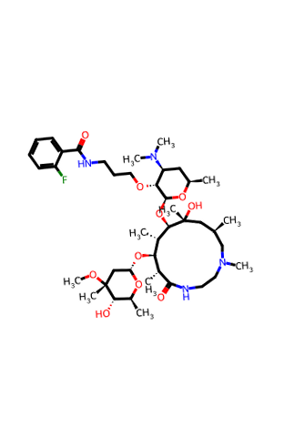 CO[C@]1(C)C[C@H](O[C@H]2[C@H](C)[C@@H](O[C@@H]3O[C@H](C)C[C@H](N(C)C)[C@H]3OCCCNC(=O)c3ccccc3F)[C@](C)(O)C[C@@H](C)CN(C)CCNC(=O)[C@@H]2C)O[C@@H](C)[C@@H]1O